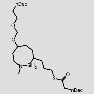 CCCCCCCCCCCCOCOC1CCC(CCCSC(=O)CCCCCCCCCCC)[SiH2]N(C)CC1